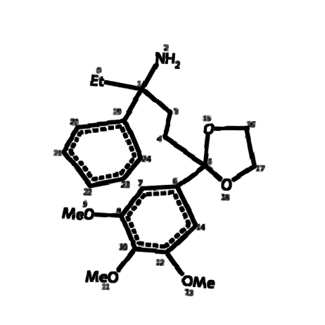 CCC(N)(CCC1(c2cc(OC)c(OC)c(OC)c2)OCCO1)c1ccccc1